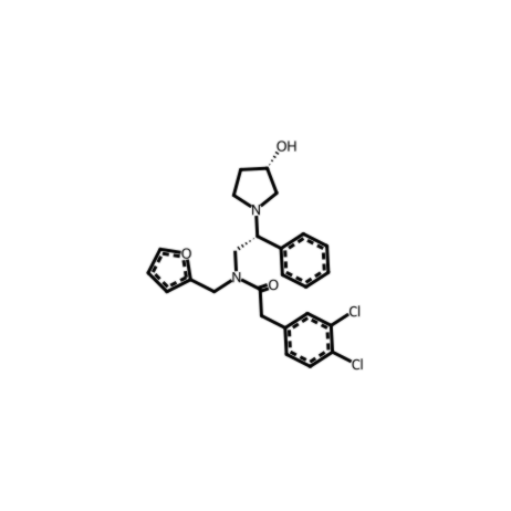 O=C(Cc1ccc(Cl)c(Cl)c1)N(Cc1ccco1)C[C@@H](c1ccccc1)N1CC[C@H](O)C1